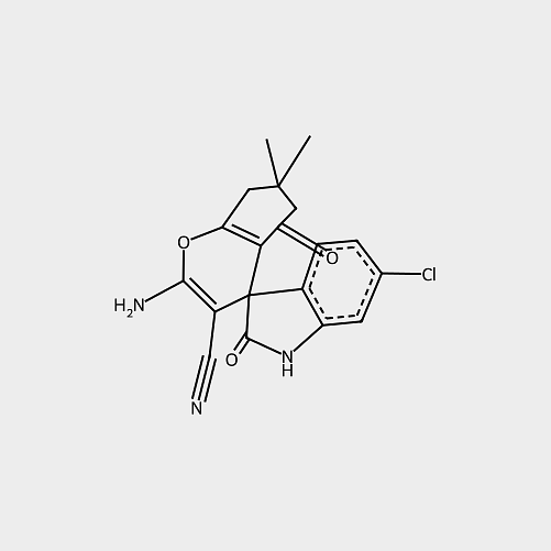 CC1(C)CC(=O)C2=C(C1)OC(N)=C(C#N)C21C(=O)Nc2cc(Cl)ccc21